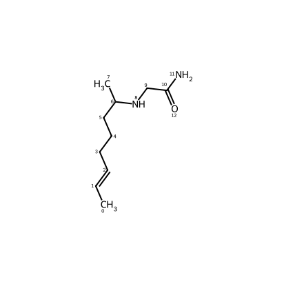 CC=CCCCC(C)NCC(N)=O